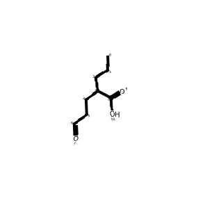 CCCC(CCC=O)C(=O)O